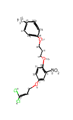 O=[N+]([O-])c1cc(OCC=C(Cl)Cl)ccc1OCCCOc1ccc(C(F)(F)F)cc1